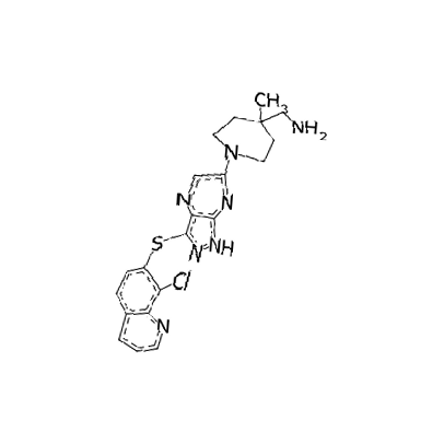 CC1(CN)CCN(c2cnc3c(Sc4ccc5cccnc5c4Cl)n[nH]c3n2)CC1